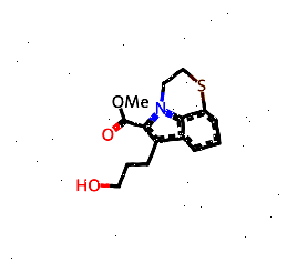 COC(=O)c1c(CCCO)c2cccc3c2n1CCS3